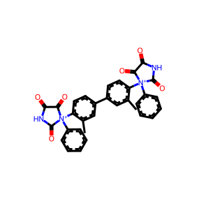 Cc1cc(-c2ccc([N+]3(c4ccccc4)C(=O)NC(=O)C3=O)c(C)c2)ccc1[N+]1(c2ccccc2)C(=O)NC(=O)C1=O